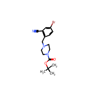 CC(C)(C)OC(=O)N1CCN(Cc2ccc(Br)cc2C#N)CC1